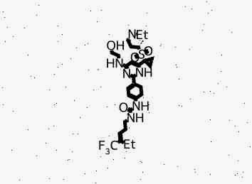 CC/N=C\C[C@H](C)S(=O)(=O)C1(C2=CC(NCCO)=NC(C3=CC=C(NC(=O)NCC/C=C(\CC)C(F)(F)F)CC3)N2)CC1